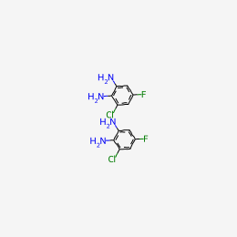 Nc1cc(F)cc(Cl)c1N.Nc1cc(F)cc(Cl)c1N